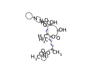 C/C(=C\C=C\[C@@H](C)COC(=O)N1CCCC1(C)C)[C@H]1OC(=O)C[C@@H](O)CC[C@](C)(O)C(OC(=O)N2CCN(C3CCCCCC3)CC2)/C=C/[C@@H]1C